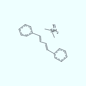 C(/C=C/c1ccccc1)=C\c1ccccc1.C[SiH2]C.[Ti]